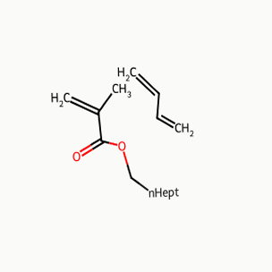 C=C(C)C(=O)OCCCCCCCC.C=CC=C